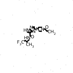 C=CC(=O)N1CCN(c2cnc3[nH]cc(C(=O)NCC(C)CC(F)(F)F)c3n2)CC1